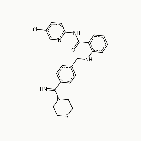 N=C(c1ccc(CNc2ccccc2C(=O)Nc2ccc(Cl)cn2)cc1)N1CCSCC1